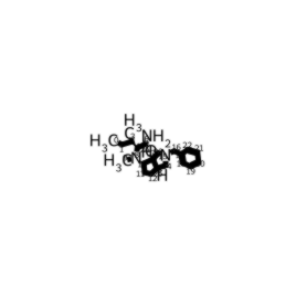 CCC(C)[C@@H](C(N)=O)N(C)[C@H]1CC[C@@H]2CN(Cc3ccccc3)C[C@@H]21